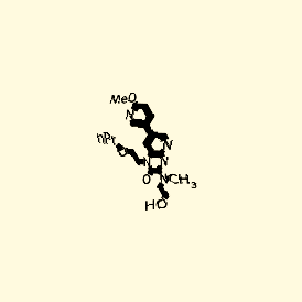 CCCOCCn1c(=O)c(N(C)CCO)nc2ncc(-c3ccc(OC)nc3)cc21